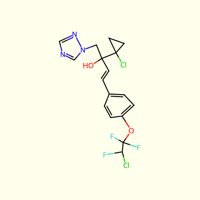 OC(C=Cc1ccc(OC(F)(F)C(F)Cl)cc1)(Cn1cncn1)C1(Cl)CC1